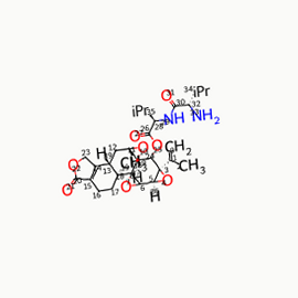 C=C(C)[C@]12O[C@H]1[C@@H]1O[C@]13[C@]1(O[C@H]1C[C@H]1C4=C(CC[C@@]13C)C(=O)OC4)[C@@H]2OC(=O)[C@H](NC(=O)[C@@H](N)C(C)C)C(C)C